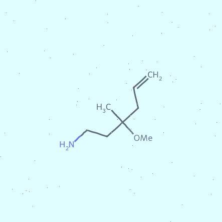 C=CCC(C)(CCN)OC